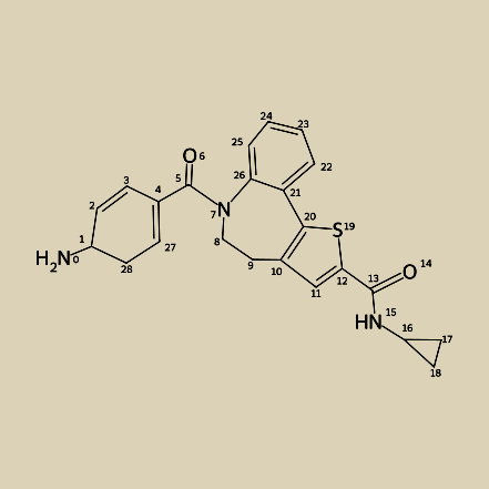 NC1C=CC(C(=O)N2CCc3cc(C(=O)NC4CC4)sc3-c3ccccc32)=CC1